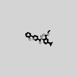 CCOC(=O)c1cc(C2CC2)ccc1NC(=O)c1ccc(-c2ccccc2Cl)nc1